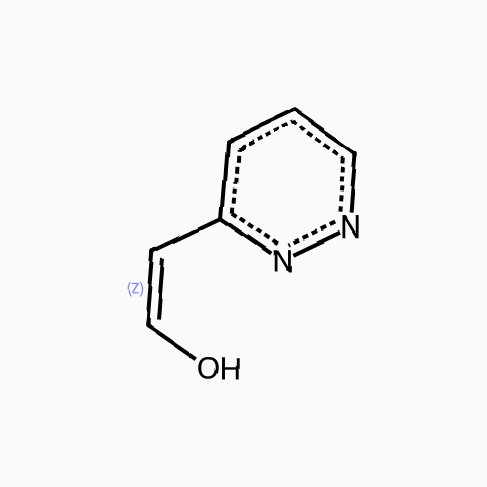 O/C=C\c1cccnn1